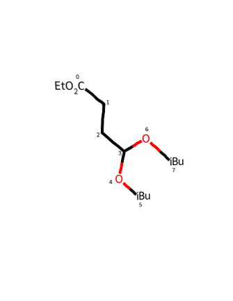 CCOC(=O)CCC(OC(C)CC)OC(C)CC